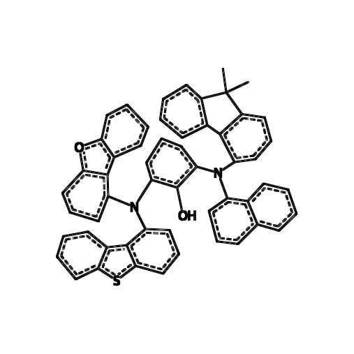 CC1(C)c2ccccc2-c2c(N(c3cccc(N(c4cccc5oc6ccccc6c45)c4cccc5sc6ccccc6c45)c3O)c3cccc4ccccc34)cccc21